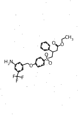 CCOC(=O)CC(CS(=O)(=O)c1ccc(OCc2cc(N)cc(C(F)(F)F)c2)cc1)c1ccccc1